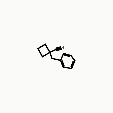 N#CC1(Cc2ccccc2)CCC1